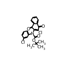 CC(C)(C)OC(=O)N(C1=C(Cl)C(=O)c2ccccc2C1=O)c1cccc(Cl)c1